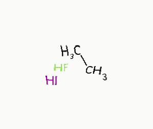 CC.F.I